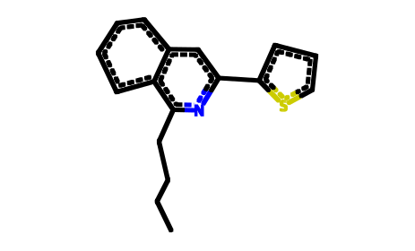 CCCCc1nc(-c2cccs2)cc2ccccc12